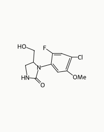 COc1cc(N2C(=O)NCC2CO)c(F)cc1Cl